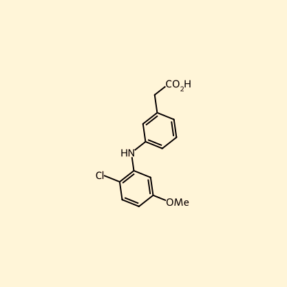 COc1ccc(Cl)c(Nc2cccc(CC(=O)O)c2)c1